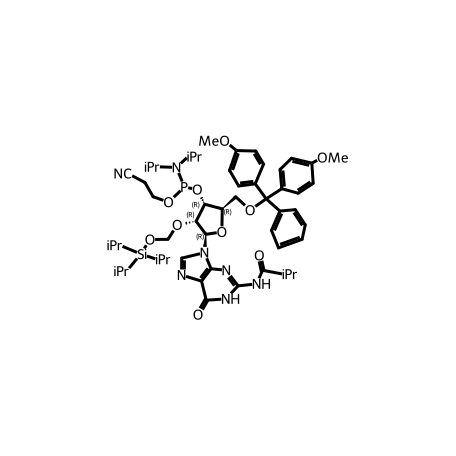 COc1ccc(C(OC[C@H]2O[C@@H](n3cnc4c(=O)[nH]c(NC(=O)C(C)C)nc43)[C@H](OCO[Si](C(C)C)(C(C)C)C(C)C)[C@@H]2OP(OCCC#N)N(C(C)C)C(C)C)(c2ccccc2)c2ccc(OC)cc2)cc1